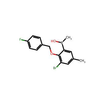 CB(O)c1cc(C)cc(Br)c1OCc1ccc(F)cc1